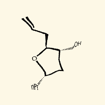 C=CC[C@@H]1O[C@@H](CCC)C[C@H]1O